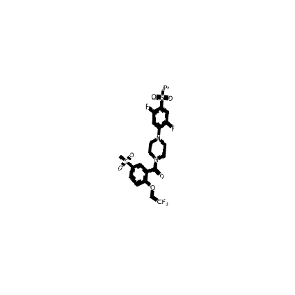 CC(C)S(=O)(=O)c1cc(F)c(N2CCN(C(=O)c3cc(S(C)(=O)=O)ccc3OCC(F)(F)F)CC2)cc1F